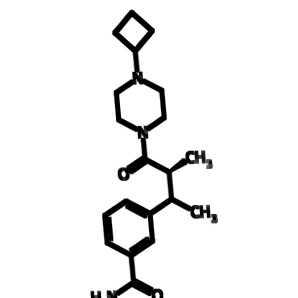 CC(c1cccc(C(N)=O)c1)[C@H](C)C(=O)N1CCN(C2CCC2)CC1